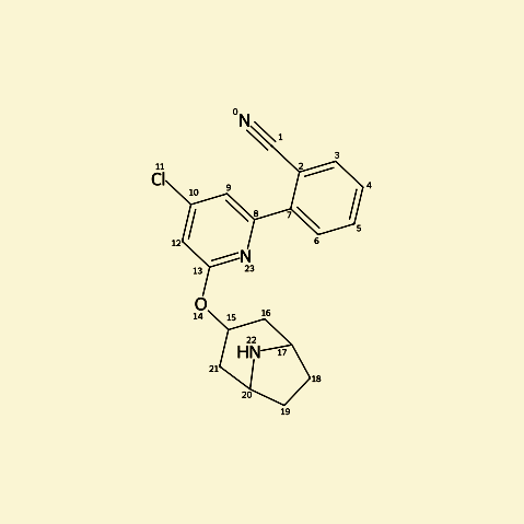 N#Cc1ccccc1-c1cc(Cl)cc(OC2CC3CCC(C2)N3)n1